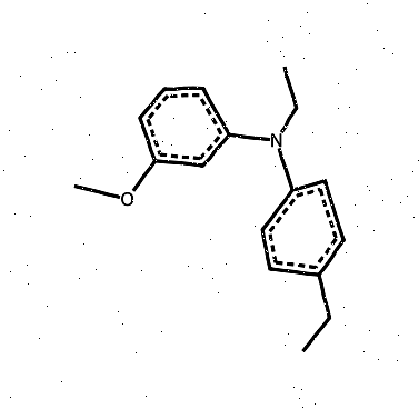 CCc1ccc(N(CC)c2cccc(OC)c2)cc1